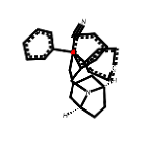 N#CC(CC1C[C@H]2CC[C@@H](C1)N2Cc1ccccc1)(c1ccccc1)c1ccccc1